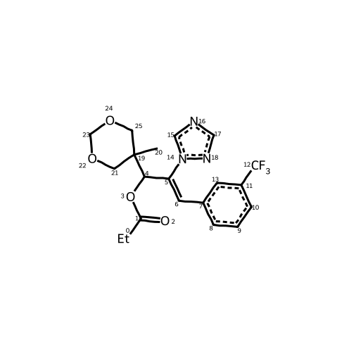 CCC(=O)OC(C(=Cc1cccc(C(F)(F)F)c1)n1cncn1)C1(C)COCOC1